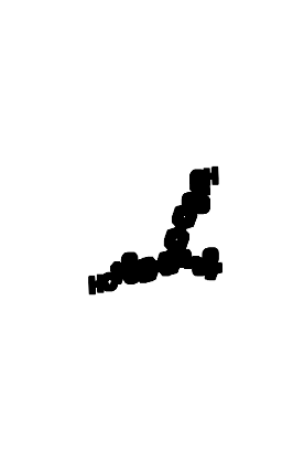 C=C(C)C(=O)OCCOc1ccc(-c2ccc(OC(=O)C(=C)CO)cc2)cc1C1CCC(C2CCC(OC(=O)C(=C)CO)CC2)CC1